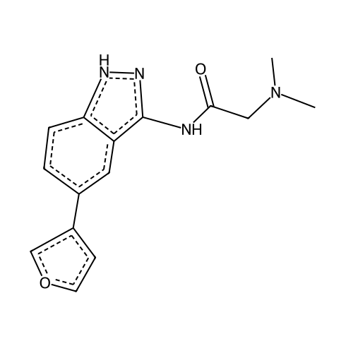 CN(C)CC(=O)Nc1n[nH]c2ccc(-c3ccoc3)cc12